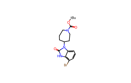 CC(C)(C)OC(=O)N1CCCC(n2c(=O)[nH]c3c(Br)cccc32)CC1